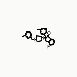 Cc1cccc(CN2CCN(C3(c4cccc(C)c4)Cc4c(F)cccc4C3=O)CC2)c1